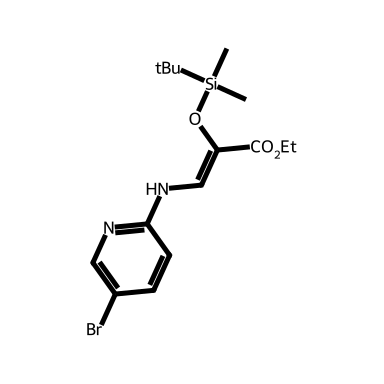 CCOC(=O)/C(=C/Nc1ccc(Br)cn1)O[Si](C)(C)C(C)(C)C